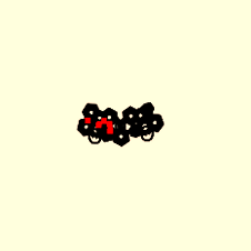 c1ccc(-c2ccccc2N(c2ccc3c(c2)C2(c4ccccc4Oc4ccccc42)c2ccccc2-3)c2ccc3c(c2)C2(c4ccccc4Oc4ccccc42)c2ccccc2-3)cc1